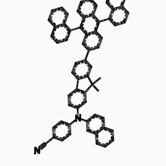 CC1(C)c2cc(-c3ccc4c(-c5cccc6ccccc56)c5ccccc5c(-c5cccc6ccccc56)c4c3)ccc2-c2ccc(N(c3ccc(C#N)cc3)c3ccc4ccccc4c3)cc21